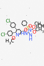 COc1cc(Cl)ccc1-c1ncc(CNC(=N)N(C(=O)OC(C)(C)C)S(=O)(=O)c2ccccc2)cc1-c1ccc(Cl)cc1